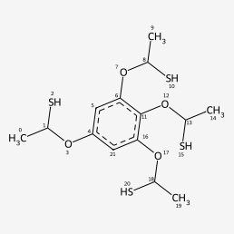 CC(S)Oc1cc(OC(C)S)c(OC(C)S)c(OC(C)S)c1